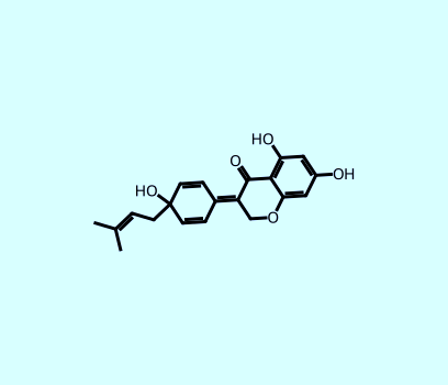 CC(C)=CCC1(O)C=CC(=C2COc3cc(O)cc(O)c3C2=O)C=C1